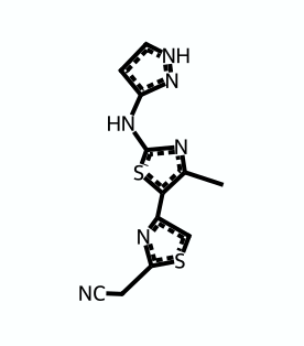 Cc1nc(Nc2cc[nH]n2)sc1-c1csc(CC#N)n1